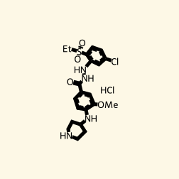 CCS(=O)(=O)c1ccc(Cl)cc1NNC(=O)c1ccc(NC2CCNCC2)c(OC)c1.Cl